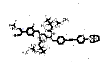 COC(=O)N[C@H](C(=O)N[C@@H](Cc1ccc(C#Cc2ccc(N3CC4CCC(C3)N4)nc2)cc1)[C@@H](O)CN(Cc1c(F)cc(/C(C=N)=C/NC(F)F)cc1F)NC(=O)[C@@H](NC(=O)OC)C(C)(C)C(F)(F)F)C(C)(C)C(F)(F)F